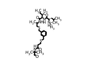 CC[C@H](C)[C@H](NC(=O)[C@H](CC(C)C)NC)C(=O)N[C@H](C)CSCc1cccc(CSCCC(=O)NC(C)(C)C=O)c1